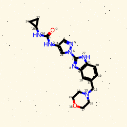 O=C(Nc1cnn(-c2nc3cc(CN4CCOCC4)ccc3[nH]2)c1)NC1CC1